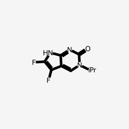 CC(C)n1cc2c(F)c(F)[nH]c2nc1=O